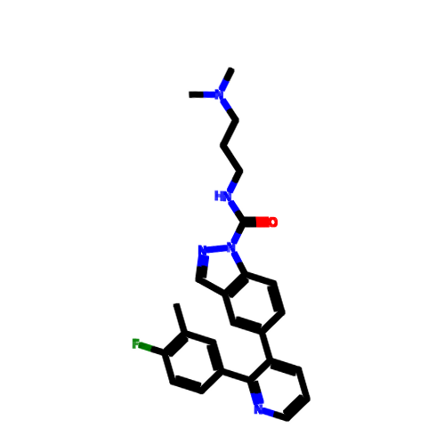 Cc1cc(-c2ncccc2-c2ccc3c(cnn3C(=O)NCCCN(C)C)c2)ccc1F